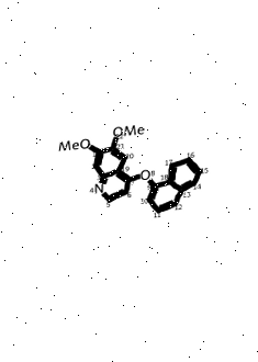 COc1cc2nccc(Oc3cccc4ccccc34)c2cc1OC